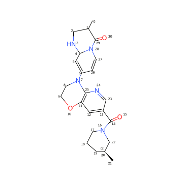 CC1CNC2C=C(N3CCOc4cc(C(=O)N5CCC[C@H](C)C5)cnc43)C=CN2C1=O